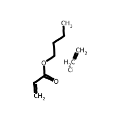 C=C.C=CC(=O)OCCCC.[C]